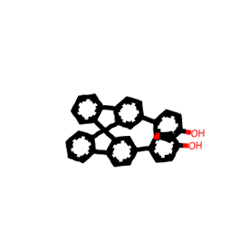 Oc1ccc(-c2ccc3c(c2)C2(c4ccccc4-3)c3ccccc3-c3ccc(-c4ccc(O)cc4)cc32)cc1